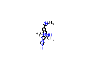 C=C(Nc1cc2cc(-c3cnn(C)c3)ccc2c(C)n1)c1ccnc(N2CCNCC2)c1